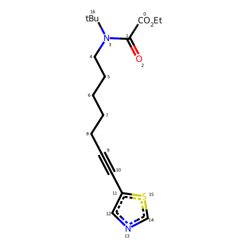 CCOC(=O)C(=O)N(CCCCCC#Cc1cncs1)C(C)(C)C